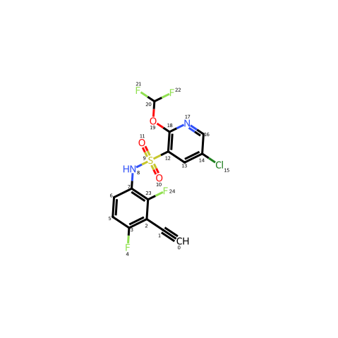 C#Cc1c(F)ccc(NS(=O)(=O)c2cc(Cl)cnc2OC(F)F)c1F